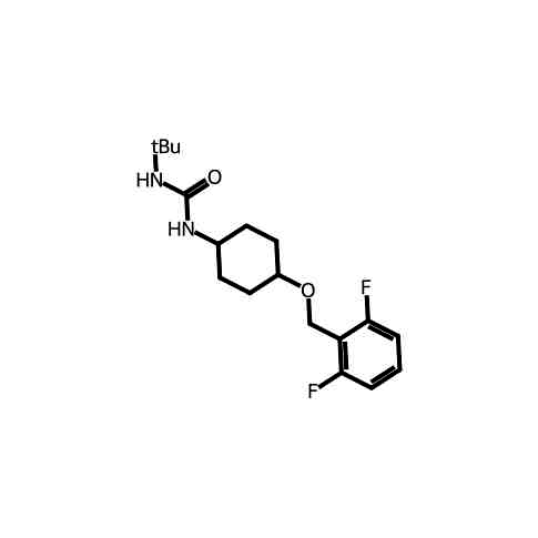 CC(C)(C)NC(=O)NC1CCC(OCc2c(F)cccc2F)CC1